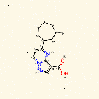 CC1CCCCC(c2ccn3ncc(C(=O)O)c3n2)C1